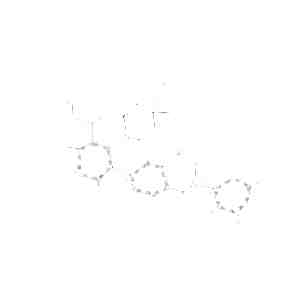 Cc1nc(C)c(C(OC(C)(C)C)C(=O)O)c(N2CCC(C)(C)CC2)c1-c1ccc2c(c1)CCN(c1cnccn1)C2